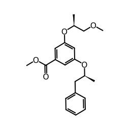 COC[C@H](C)Oc1cc(O[C@@H](C)Cc2ccccc2)cc(C(=O)OC)c1